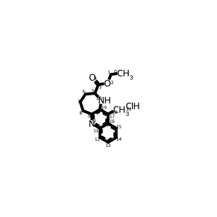 CCOC(=O)C1CCCc2nc3ccccc3c(C)c2N1.Cl